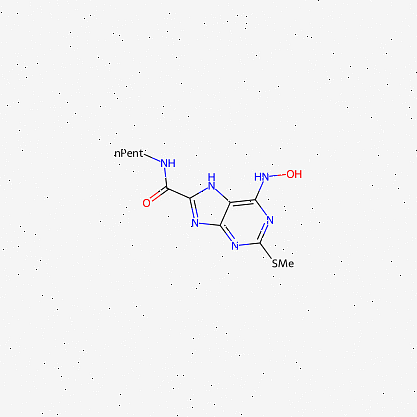 CCCCCNC(=O)c1nc2nc(SC)nc(NO)c2[nH]1